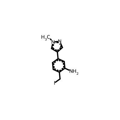 Cn1cc(-c2ccc(CI)c(N)c2)cn1